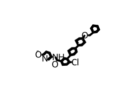 COc1ccc(NC(=O)c2ccc(Cl)c(-c3ccc(-c4ccc(OCc5ccccc5)cc4)cc3)c2)cn1